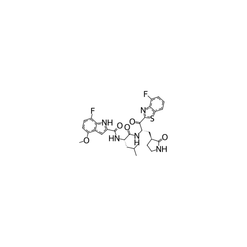 COc1ccc(F)c2[nH]c(C(=O)N[C@@H](CC(C)C)C(=O)N[C@@H](C[C@@H]3CCNC3=O)C(=O)c3nc4c(F)cccc4s3)cc12